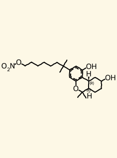 CC(C)(CCCCCCO[N+](=O)[O-])c1cc(O)c2c(c1)OC(C)(C)[C@@H]1CCC(O)C[C@@H]21